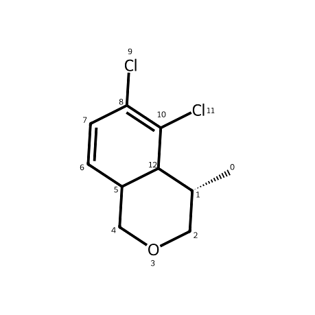 C[C@@H]1COCC2C=CC(Cl)=C(Cl)C21